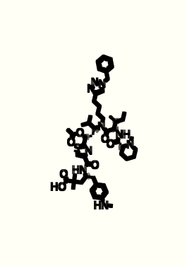 CC[C@H](C)[C@H](NC(=O)[C@H]1CCCCN1C)C(=O)N(CCCCc1cn(Cc2ccccc2)nn1)[C@H](C[C@@H](OC(C)=O)c1nc(C(=O)N[C@@H](Cc2ccc(NC)cc2)CC(C)(C)C(=O)O)cs1)C(C)C